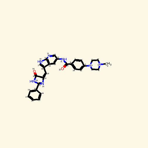 CN1CCN(c2ccc(C(=O)Nc3cnc4[nH]cc(/C=C5/N=C(c6ccccc6)NC5=O)c4c3)cc2)CC1